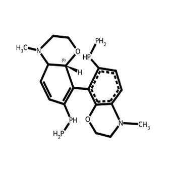 CN1CCOc2c1ccc(PP)c2C1=C(PP)C=CC2[C@@H]1OCCN2C